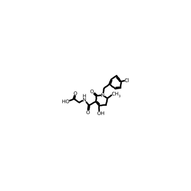 CC1CC(O)=C(C(=O)NCC(=O)O)C(=O)N1Cc1ccc(Cl)cc1